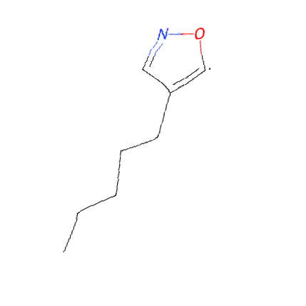 CCCCCc1[c]onc1